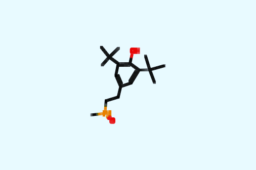 C[PH](=O)CCc1cc(C(C)(C)C)c(O)c(C(C)(C)C)c1